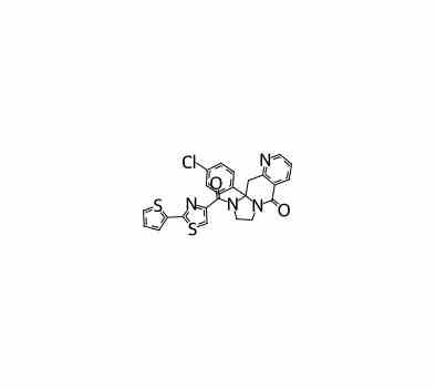 O=C(c1csc(-c2cccs2)n1)N1CCN2C(=O)c3cccnc3CC12c1ccc(Cl)cc1